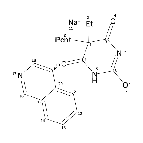 CCCC(C)C1(CC)C(=O)N=C([O-])NC1=O.[Na+].c1ccc2cnccc2c1